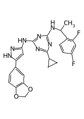 CC(Nc1nc(Nc2cc(-c3ccc4c(c3)OCO4)[nH]n2)nc(C2CC2)n1)c1ccc(F)cc1F